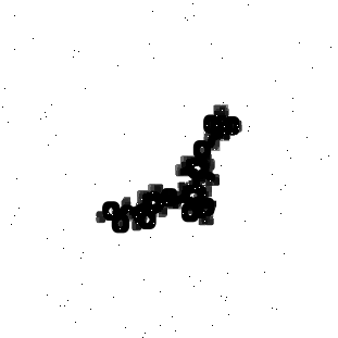 COC(=O)C[C@@H]1COc2cc(OCc3cc(-c4c(C)cc(OCCCS(C)(=O)=O)cc4C)cc4c3OCO4)ccc21